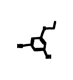 CCSc1cc(S)cc(S)c1